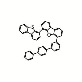 c1ccc(-c2ccc(-c3cccc(-c4cccc5c4oc4c(-c6cccc7c6sc6ccccc67)cccc45)c3)cc2)cc1